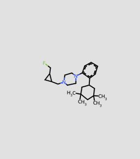 CC1(C)CC(c2ccccc2N2CCN(CC3CC3CF)CC2)CC(C)(C)C1